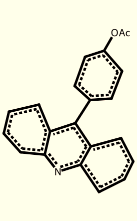 CC(=O)Oc1ccc(-c2c3ccccc3nc3ccccc23)cc1